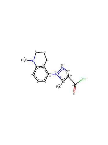 CN1CCCc2c1cccc2-n1ncc(C(=O)Cl)c1C(F)(F)F